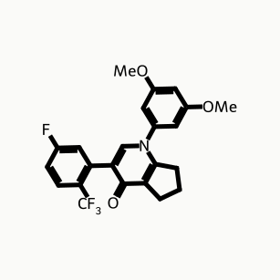 COc1cc(OC)cc(-n2cc(-c3cc(F)ccc3C(F)(F)F)c(=O)c3c2CCC3)c1